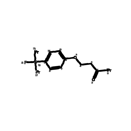 CC(C)C(=O)CCOc1ccc([Si](F)(C(C)C)C(C)C)cc1